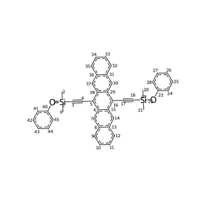 C[Si](C)(C#Cc1c2cc3ccccc3cc2c(C#C[Si](C)(C)Oc2ccccc2)c2cc3ccccc3cc12)Oc1ccccc1